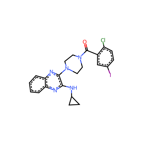 O=C(c1cc(I)ccc1Cl)N1CCN(c2nc3ccccc3nc2NC2CC2)CC1